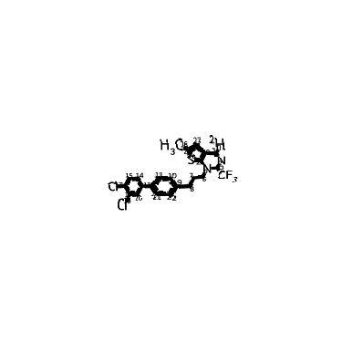 [2H]C1=NC(C(F)(F)F)N(CCCc2ccc(-c3ccc(Cl)c(Cl)c3)cc2)c2sc(C)cc21